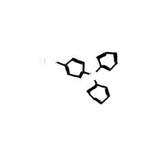 Bc1ccc(P(c2ccccc2)c2ccccc2)cc1